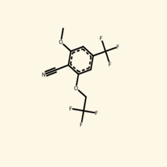 COc1cc(C(F)(F)F)cc(OCC(F)(F)F)c1C#N